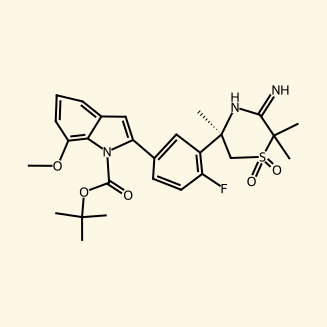 COc1cccc2cc(-c3ccc(F)c([C@]4(C)CS(=O)(=O)C(C)(C)C(=N)N4)c3)n(C(=O)OC(C)(C)C)c12